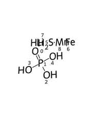 O=P(O)(O)O.S.[Fe].[LiH].[Mn]